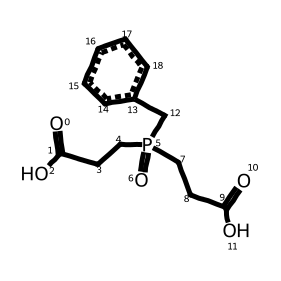 O=C(O)CCP(=O)(CCC(=O)O)Cc1ccccc1